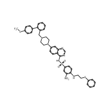 O=[N+]([O-])c1cc(S(=O)(=O)Nc2ncnc3cc(N4CCN(Cc5ccccc5-c5ccc(OC(F)(F)F)cc5)CC4)ccc23)ccc1NCCSc1ccccc1